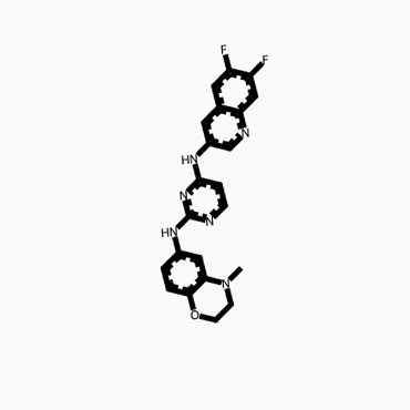 CN1CCOc2ccc(Nc3nccc(Nc4cnc5cc(F)c(F)cc5c4)n3)cc21